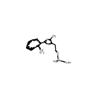 Cc1nc(-c2ccccc2C(F)(F)F)sc1CCON(O)O